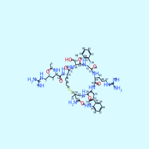 CC(=O)N[C@H](CCCNC(=N)N)C(=O)N[C@H]1CCSSC(C)(C)[C@@H](C(N)=O)NC(=O)[C@H](Cc2c[nH]c3ccccc23)NC(=O)[C@H](CCCNC(=N)N)NC(=O)[C@@H](Cc2ccccc2)NC(=O)[C@H]([C@@H](C)O)NC1=O